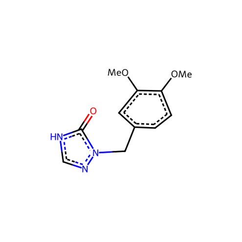 COc1ccc(Cn2nc[nH]c2=O)cc1OC